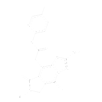 CC(=O)Nc1cc2n(CC(=O)Nc3ccc(F)cn3)c3c(c(=O)n2n1)CN(C(C)C)C3=O